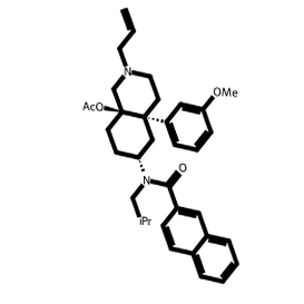 C=CCN1CC[C@@]2(c3cccc(OC)c3)C[C@H](N(CC(C)C)C(=O)c3ccc4ccccc4c3)CC[C@]2(OC(C)=O)C1